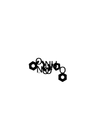 CN1C(=O)C(NC(=O)N2CCC(Oc3ccccc3)C2)COc2ccccc21